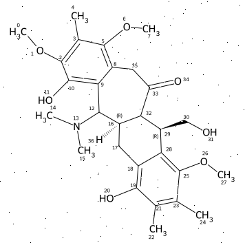 COc1c(C)c(OC)c2c(c1O)C(N(C)C)[C@@H]1Cc3c(O)c(C)c(C)c(OC)c3[C@H](CO)C1C(=O)C2